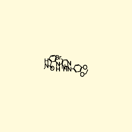 CNC(=O)c1ccccc1Nc1nc(Nc2ccc3c(c2)OCCO3)ncc1Br